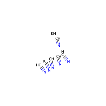 C#N.C#N.C#N.C#N.C#N.C#N.[KH]